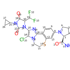 NC(=O)[C@@H]1CCCN1c1ccc2c(c1)SCCn1c-2nc(N2C(=O)N(C3CC3)C(=O)C2C(F)F)c1Cl